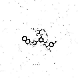 CC(C)C(=O)N(C)c1cc(C(=O)N[C@H](C)c2ccc(F)cc2)cc(-c2c[nH]c(-c3cc4ccccc4cn3)n2)c1